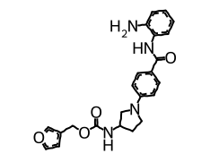 Nc1ccccc1NC(=O)c1ccc(N2CCC(NC(=O)OCc3ccoc3)C2)cc1